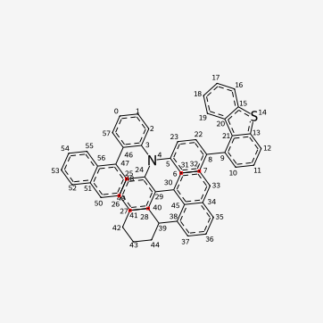 c1ccc(N(c2ccc(-c3cccc4sc5ccccc5c34)cc2)c2ccccc2-c2cccc3cccc(C4CCCCC4)c23)c(-c2cccc3ccccc23)c1